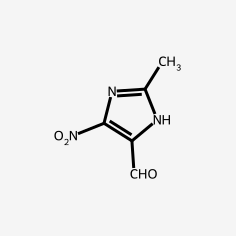 Cc1nc([N+](=O)[O-])c(C=O)[nH]1